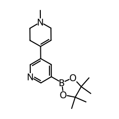 CN1CC=C(c2cncc(B3OC(C)(C)C(C)(C)O3)c2)CC1